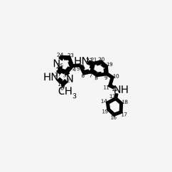 Cc1nc2c(-c3cc4cc(CCNC5CCCCC5)ccc4[nH]3)ccnc2[nH]1